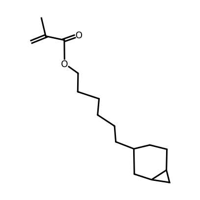 C=C(C)C(=O)OCCCCCCC1CCC2CC2C1